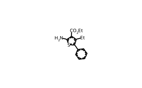 CCOC(=O)c1c(N)sc(-c2ccccc2)c1CC